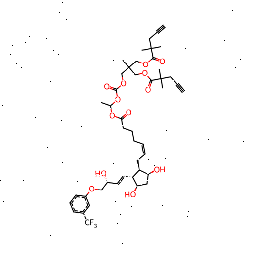 C#CCC(C)(C)C(=O)OCC(C)(COC(=O)OC(C)OC(=O)CCC/C=C\C[C@@H]1[C@@H](/C=C/[C@@H](O)COc2cccc(C(F)(F)F)c2)[C@H](O)C[C@@H]1O)COC(=O)C(C)(C)CC#C